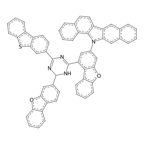 c1ccc2cc3c(cc2c1)c1ccc2ccccc2c1n3-c1cc(C2=NC(c3ccc4c(c3)sc3ccccc34)=NC(c3ccc4c(c3)oc3ccccc34)N2)c2c(c1)oc1ccccc12